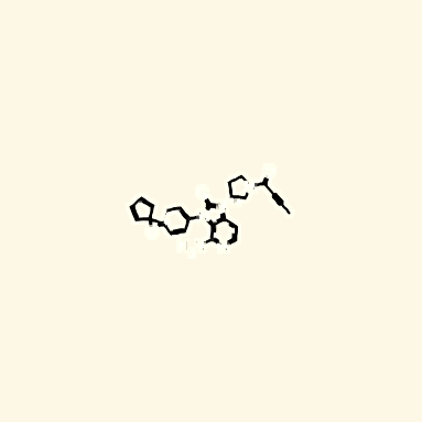 CC#CC(=O)N1CC[C@@H](n2c(=O)n(C3=CC[C@@]4(C=C3)OC43C=CC=C3)c3c(N)nccc32)C1